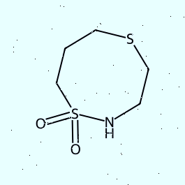 O=S1(=O)CCCSCCN1